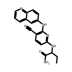 CCC(Nc1ccc(C#N)c(Nc2ccc3ncccc3c2)n1)C(N)=O